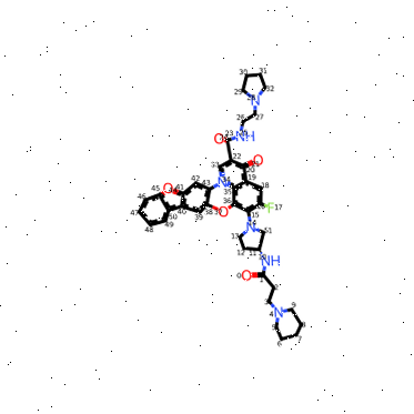 O=C(CCN1CCCCC1)N[C@@H]1CCN(c2c(F)cc3c(=O)c(C(=O)NCCN4CCCC4)cn4c3c2Oc2cc3c(cc2-4)oc2ccccc23)C1